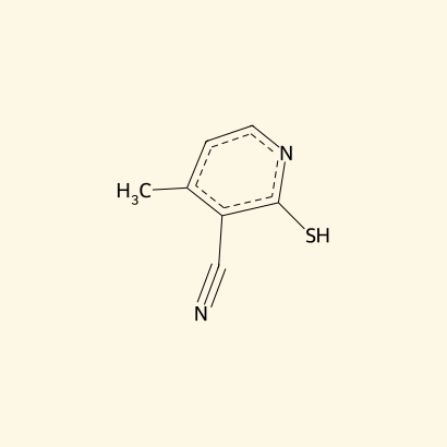 Cc1ccnc(S)c1C#N